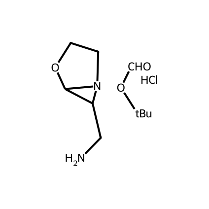 CC(C)(C)OC=O.Cl.NCC1C2OCCN12